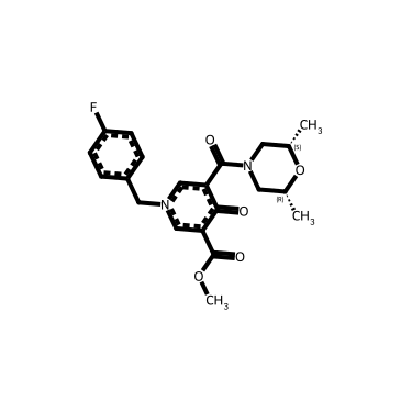 COC(=O)c1cn(Cc2ccc(F)cc2)cc(C(=O)N2C[C@@H](C)O[C@@H](C)C2)c1=O